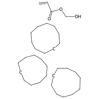 C1CCCCCCCCC1.C1CCCCCCCCC1.C1CCCCCCCCC1.C=CC(=O)OCO